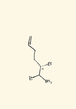 BC(CC)[C@@H](CC)CCC=C